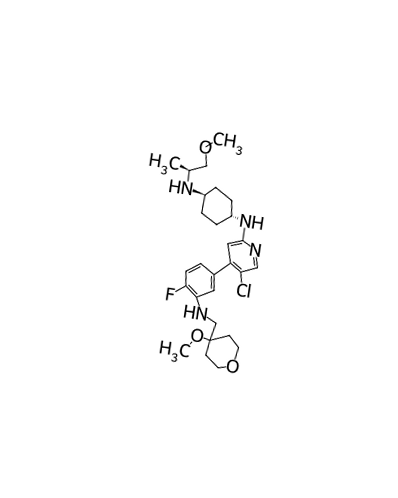 COC[C@H](C)N[C@H]1CC[C@H](Nc2cc(-c3ccc(F)c(NCC4(OC)CCOCC4)c3)c(Cl)cn2)CC1